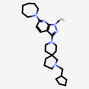 Cn1nc(N2CCC3(CCCN(CC4CCCC4)C3)CC2)c2ccc(N3CCCCCC3)nc21